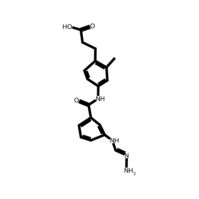 Cc1cc(NC(=O)c2cccc(NC=NN)c2)ccc1CCC(=O)O